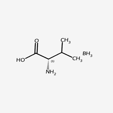 B.CC(C)[C@H](N)C(=O)O